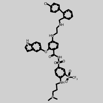 CN(C)CCCNc1ccc(S(=O)(=O)NC(=O)c2ccc(NCCNCc3ccccc3-c3ccc(Cl)cc3)cc2Oc2ccc3[nH]ccc3c2)cc1S(=O)(=O)C(F)(F)F